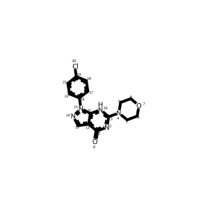 O=c1nc(N2CCOCC2)[nH]c2c1cnn2-c1ccc(Cl)cc1